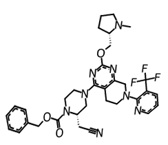 CN1CCC[C@H]1COc1nc2c(c(N3CCN(C(=O)OCc4ccccc4)[C@@H](CC#N)C3)n1)CCN(c1ncccc1C(F)(F)F)C2